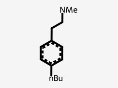 CCCCc1ccc(CCNC)cc1